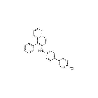 Clc1ccc(-c2ccc(Nc3ccc4ccccc4c3-c3ccccc3)cc2)cc1